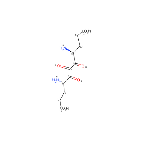 N[C@@H](CCC(=O)O)C(=O)C(=O)C(=O)[C@@H](N)CCC(=O)O